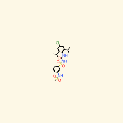 CC(C)c1cc(Cl)cc(C(C)C)c1NC(=O)NS(=O)(=O)c1cccc(NS(C)(=O)=O)c1